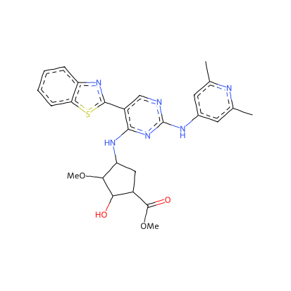 COC(=O)C1CC(Nc2nc(Nc3cc(C)nc(C)c3)ncc2-c2nc3ccccc3s2)C(OC)C1O